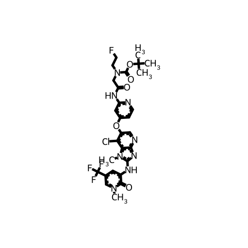 Cn1cc(C(F)(F)F)cc(Nc2nc3ncc(Oc4ccnc(NC(=O)CN(CCF)C(=O)OC(C)(C)C)c4)c(Cl)c3n2C)c1=O